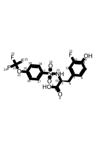 O=C(O)[C@H](Cc1ccc(O)c(F)c1)NS(=O)(=O)c1ccc(OC(F)(F)F)cc1